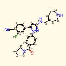 N#Cc1ccc(-c2cc(NCC3CCCNCC3)nn2-c2ccc(C(=O)N3CCCC3)cc2)cc1F